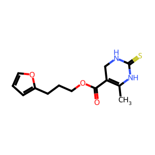 CC1=C(C(=O)OCCCc2ccco2)CNC(=S)N1